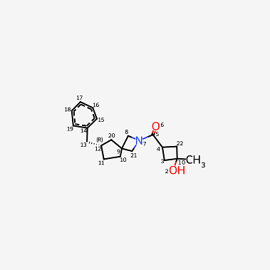 CC1(O)CC(C(=O)N2CC3(CC[C@H](Cc4ccccc4)C3)C2)C1